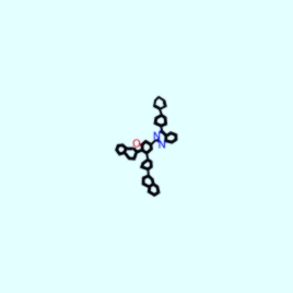 C1=CC(c2ccc(-c3nc(-c4cc(-c5ccc(-c6ccc7ccccc7c6)cc5)c5c(c4)oc4c6ccccc6ccc45)nc4ccccc34)cc2)=CCC1